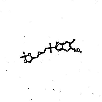 CC1(C)OCC(COCCC(C)(C)C2=NC3=CC(F)=C([N+](=O)[O-])CC3=C2)O1